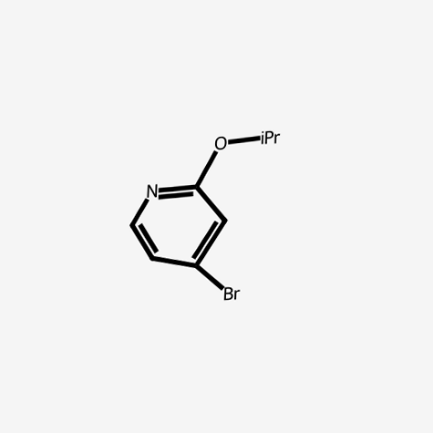 CC(C)Oc1cc(Br)ccn1